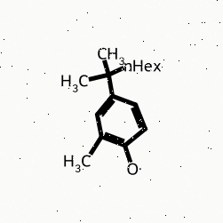 CCCCCCC(C)(C)c1ccc([O])c(C)c1